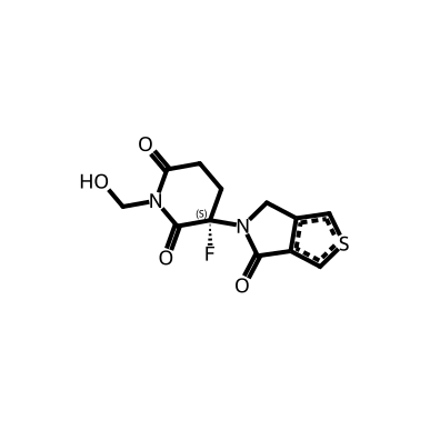 O=C1CC[C@@](F)(N2Cc3cscc3C2=O)C(=O)N1CO